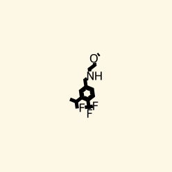 COCCNCc1ccc(C(F)(F)F)c(C(C)C)c1